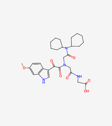 COc1ccc2c(C(=O)C(=O)N(CC(=O)NCC(=O)O)CC(=O)N(C3CCCCC3)C3CCCCC3)c[nH]c2c1